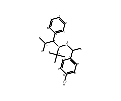 CC(ON(C(c1ccccc1)C(C)C)C(C)(C)C)c1ccc(Br)cc1